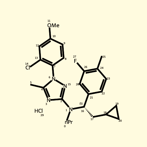 CCCN(c1nc(C)n(-c2ccc(OC)cc2Cl)n1)[C@@H](CC1CC1)c1ccc(C)c(F)c1.Cl